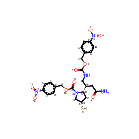 NC(=O)CC(CNC(=O)OCc1ccc([N+](=O)[O-])cc1)[C@@H]1C[C@H](S)CN1C(=O)OCc1ccc([N+](=O)[O-])cc1